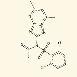 CC(=O)N(c1nc2nc(C)cc(C)n2n1)S(=O)(=O)c1c(Cl)cccc1Cl